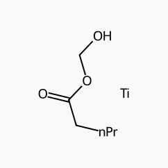 CCCCC(=O)OCO.[Ti]